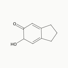 O=C1C=C2CCCC2=CC1O